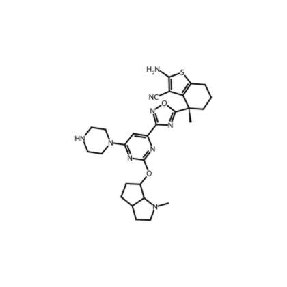 CN1CCC2CCC(Oc3nc(-c4noc([C@@]5(C)CCCc6sc(N)c(C#N)c65)n4)cc(N4CCNCC4)n3)C21